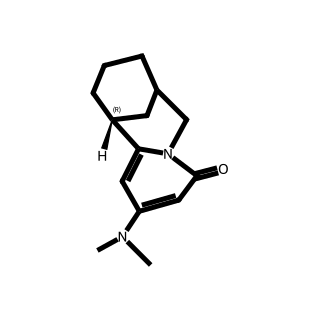 CN(C)c1cc2n(c(=O)c1)CC1CCC[C@@H]2C1